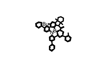 C=C1c2cc(-c3ccccc3C)cc3c2B(c2cc(C(C)(C)C)cc4c2C1C1(C)CCCCC41C)N(c1ccc(-c2ccccc2)cc1)c1ccc(-c2ccccc2)cc1-3